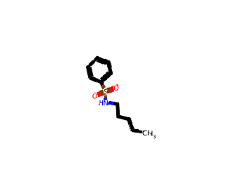 CCCCCNS(=O)(=O)c1[c]cccc1